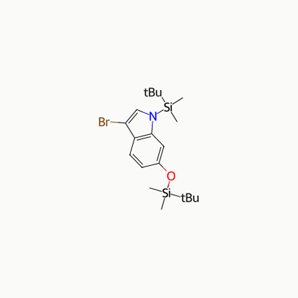 CC(C)(C)[Si](C)(C)Oc1ccc2c(Br)cn([Si](C)(C)C(C)(C)C)c2c1